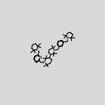 CC1(C)CCCC(C)(C)P1Cc1cccc(CP2C(C)(C)CCC(C3CCC(C)(C)P(Cc4cccc(CP5C(C)(C)CCCC5(C)C)n4)C3(C)C)C2(C)C)c1